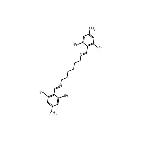 Cc1cc(C(C)C)c(C=NCCCCCCN=Cc2c(C(C)C)cc(C)cc2C(C)C)c(C(C)C)c1